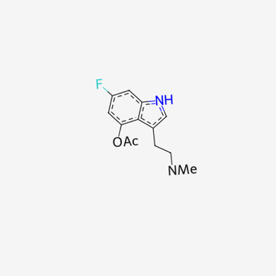 CNCCc1c[nH]c2cc(F)cc(OC(C)=O)c12